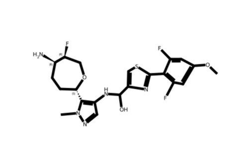 COc1cc(F)c(-c2nc(C(O)Nc3cnn(C)c3[C@@H]3CC[C@@H](N)[C@@H](F)CO3)cs2)c(F)c1